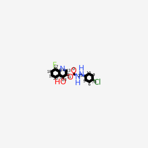 O=C(NNc1ccc(Cl)cc1)Oc1cnc2c(F)cccc2c1O